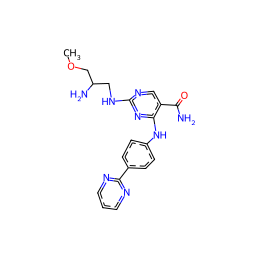 COCC(N)CNc1ncc(C(N)=O)c(Nc2ccc(-c3ncccn3)cc2)n1